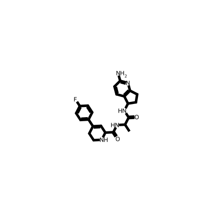 CC(NC(=O)C1C=C(c2ccc(F)cc2)CCN1)C(=O)NC1CCc2nc(N)ccc21